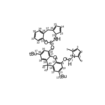 Cc1ccc(C)n1POc1cc(C(C)(C)C)cc2c1Oc1c(OP3NC4C=CC=C4Cc4ccccc4O3)cc(C(C)(C)C)cc1C2(C)C